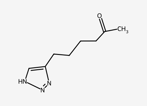 CC(=O)CCCCc1c[nH]nn1